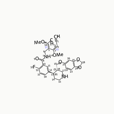 C#C/C=C(OC)\C(CNC(=O)c1cc([C@@H]2CCNC[C@H]2COc2ccc3c(c2)OCO3)ccc1F)=C(/C)OC